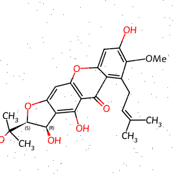 COc1c(O)cc2oc3cc4c(c(O)c3c(=O)c2c1CC=C(C)C)[C@@H](O)[C@@H](C(C)(C)O)O4